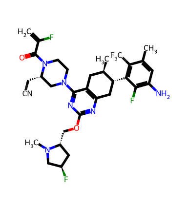 C=C(F)C(=O)N1CCN(c2nc(OC[C@@H]3C[C@@H](F)CN3C)nc3c2C[C@@H](C)[C@H](c2c(F)c(N)cc(C)c2C(F)(F)F)C3)C[C@@H]1CC#N